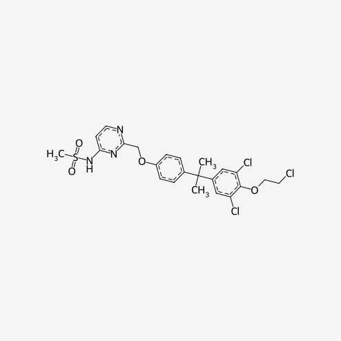 CC(C)(c1ccc(OCc2nccc(NS(C)(=O)=O)n2)cc1)c1cc(Cl)c(OCCCl)c(Cl)c1